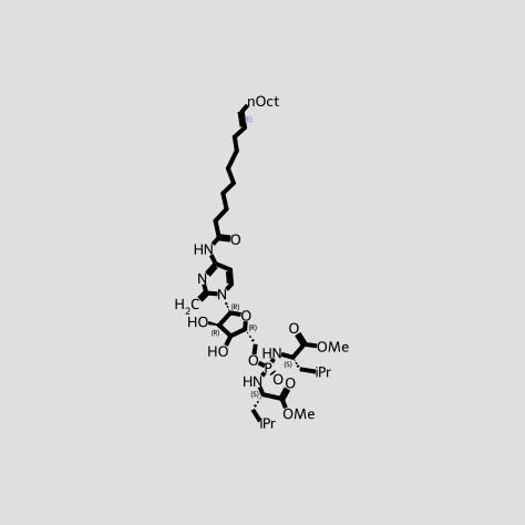 C=C1N=C(NC(=O)CCCCCCC/C=C/CCCCCCCC)C=CN1[C@@H]1O[C@H](COP(=O)(N[C@@H](CC(C)C)C(=O)OC)N[C@@H](CC(C)C)C(=O)OC)C(O)[C@H]1O